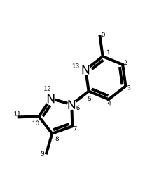 Cc1cccc(-n2cc(C)c(C)n2)n1